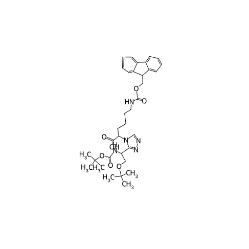 CC(C)(C)OCC(NC(=O)OC(C)(C)C)c1nncn1C(CCCCNC(=O)OCC1c2ccccc2-c2ccccc21)C(=O)O